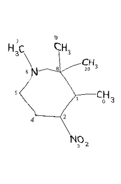 CC1C([N+](=O)[O-])CCN(C)C1(C)C